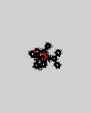 c1ccc(-c2cc(-c3ccccc3)cc(-c3nc(-c4cc(-c5ccccc5)cc(-c5ccccc5)c4)nc(-c4ccc5oc6cccc(-c7nc(-c8ccccc8)nc(-c8ccccc8)n7)c6c5c4)n3)c2)cc1